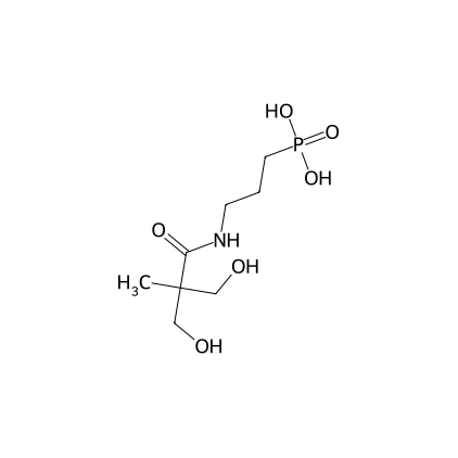 CC(CO)(CO)C(=O)NCCCP(=O)(O)O